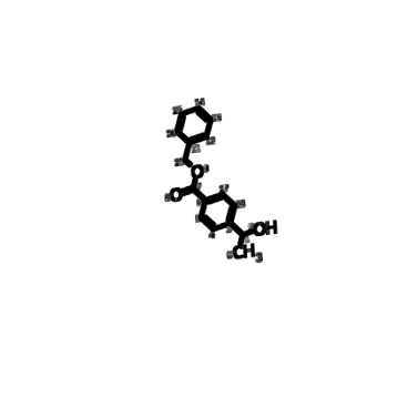 CC(O)c1ccc(C(=O)OCc2ccccc2)cc1